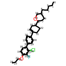 CCCCCC1CCC(C2CC=C(c3ccc(-c4ccc(OCCC)c(F)c4Cl)cc3)CC2)OC1